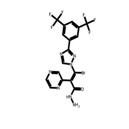 NNC(=O)/C(=C(\Br)n1cnc(-c2cc(C(F)(F)F)cc(C(F)(F)F)c2)n1)c1cnccn1